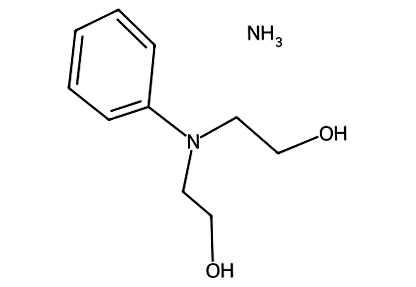 N.OCCN(CCO)c1ccccc1